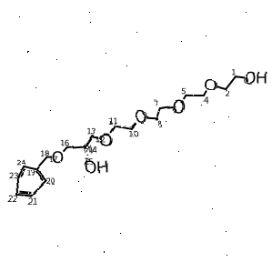 OCCOCCOCCOCCOC[C@H](O)COCc1ccccc1